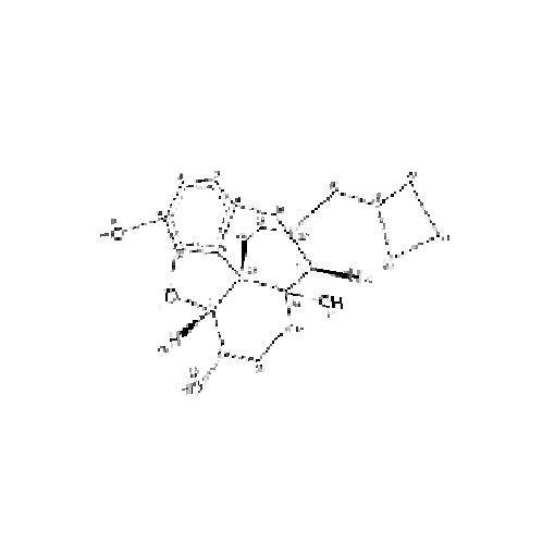 Oc1ccc2c3c1O[C@H]1[C@@H](O)CCC4(O)[C@@H](C2)N(CC2CCC2)CC[C@]314